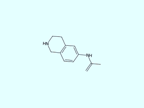 C=C(C)Nc1ccc2c(c1)CCNC2